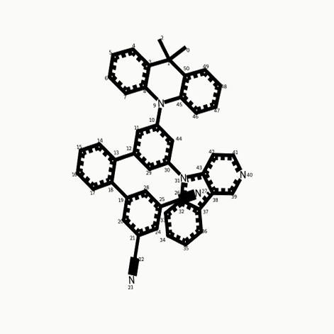 CC1(C)c2ccccc2N(c2cc(-c3ccccc3-c3cc(C#N)cc(C#N)c3)cc(-n3c4ccccc4c4cnccc43)c2)c2ccccc21